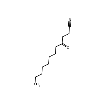 CCCCCCCCC(=O)CCC#N